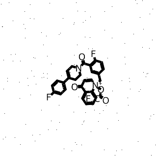 O=C1C=C[N+](Cc2ccc(F)c(C(=O)N3CC=C(c4ccc(F)cc4)CC3)c2)(OC(=O)C(F)(F)F)c2ccccc21